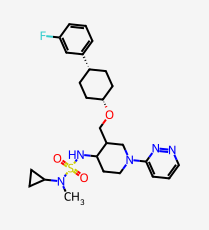 CN(C1CC1)S(=O)(=O)NC1CCN(c2cccnn2)CC1CO[C@H]1CC[C@@H](c2cccc(F)c2)CC1